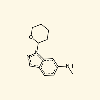 CNc1ccc2cnn(C3CCCCO3)c2c1